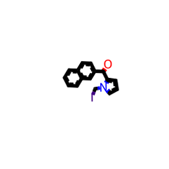 O=C(c1ccc2ccccc2c1)c1cccn1CI